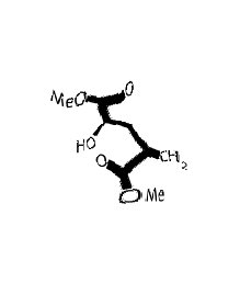 C=C(C[C@@H](O)C(=O)OC)C(=O)OC